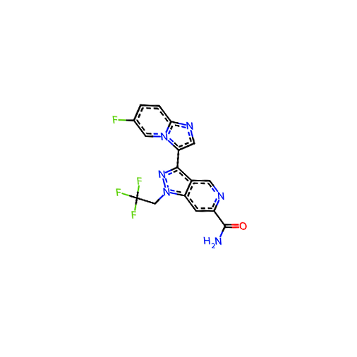 NC(=O)c1cc2c(cn1)c(-c1cnc3ccc(F)cn13)nn2CC(F)(F)F